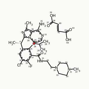 Cc1nc([C@@H](C)c2cc(Cl)c(F)c(C(=O)NCCN3CCN(C)CC3)c2OC(C)C)n2ccnc(N)c12.O=C(O)/C=C/C(=O)O